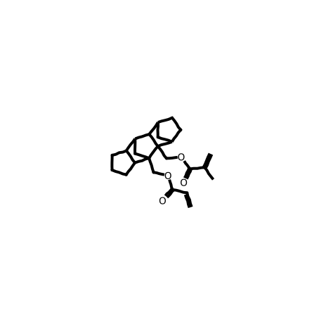 C=CC(=O)OCC12CC(C3CCCC31)C1C3CCC(C3)C12COC(=O)C(=C)C